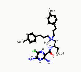 COc1ccc(CCC[N+](C)(CCCc2ccc(OC)cc2)C[C@@H](CC(=O)O)NC(=O)c2nc(Cl)c(N)nc2N)cc1